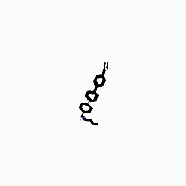 CCC/C=C\[C@H]1CC[C@H](c2ccc(-c3ccc(C#N)cc3)cc2)CC1